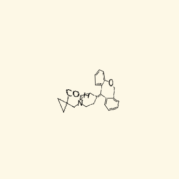 O=C(O)C1(CN2CCC(=C3c4ccccc4COc4ccccc43)CC2)CC1